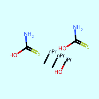 CC(C)O.CCCC.CCCC.NC(O)=S.NC(O)=S